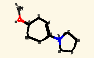 CCCOC1CC=C(N2CCCC2)CC1